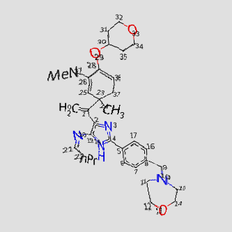 C=C(c1nc(-c2ccc(CN3CCOCC3)cc2)[nH]c1/N=C\CCC)C1(C)C=C(NC)C(OC2CCOCC2)=CC1